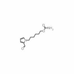 NC(=O)OCCCCCCn1cccc1C=O